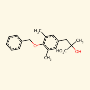 Cc1cc(CC(C)(O)C(=O)O)cc(C)c1OCc1ccccc1